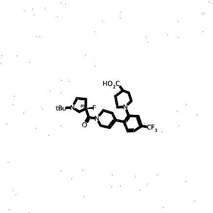 CC(C)(C)N1CC[C@](F)(C(=O)N2CC=C(c3ccc(C(F)(F)F)cc3N3CCC(C(=O)O)CC3)CC2)C1